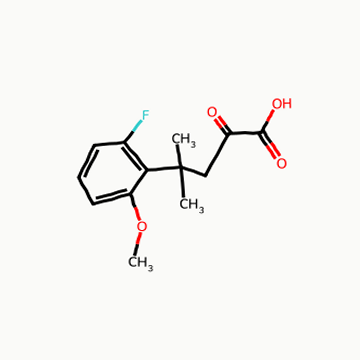 COc1cccc(F)c1C(C)(C)CC(=O)C(=O)O